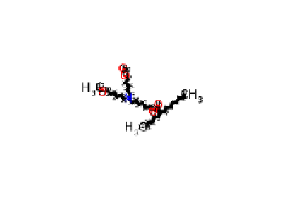 CCCCCCCCC(CCCCCC)C(=O)OCCCCCCN(CCCCCCOC)CCCCCOC=O